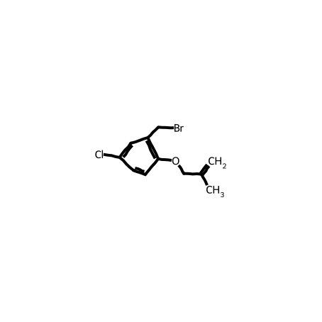 C=C(C)COc1ccc(Cl)cc1CBr